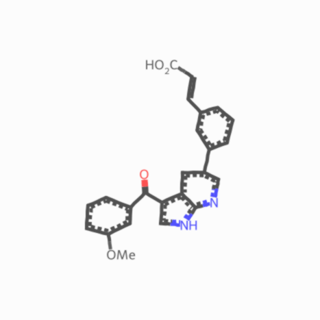 COc1cccc(C(=O)c2c[nH]c3ncc(-c4cccc(/C=C/C(=O)O)c4)cc23)c1